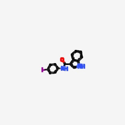 O=C(Nc1ccc(I)cc1)c1c[nH]c2ccccc12